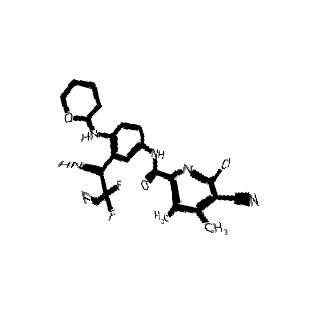 Cc1c(C(=O)Nc2ccc(NC3CCCCO3)c(C(=N)C(F)(F)F)c2)nc(Cl)c(C#N)c1C